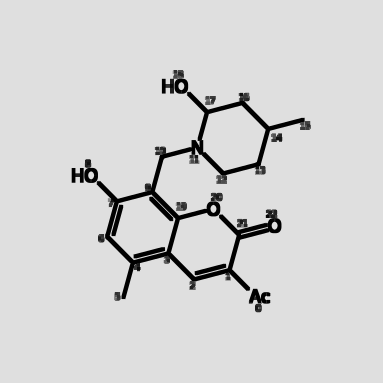 CC(=O)c1cc2c(C)cc(O)c(CN3CCC(C)CC3O)c2oc1=O